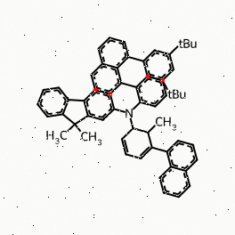 CC1C(c2cccc3ccccc23)=CC=CC1N(c1ccc2c(c1)C(C)(C)c1ccccc1-2)c1ccccc1-c1cccc2cccc(-c3cc(C(C)(C)C)cc(C(C)(C)C)c3)c12